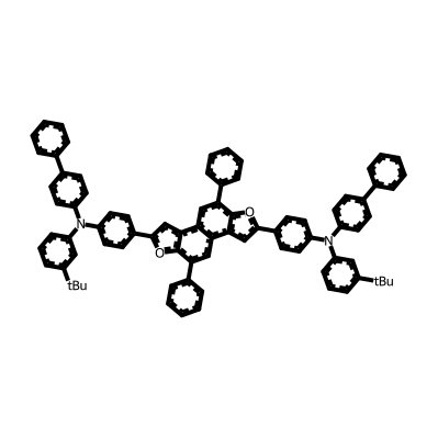 CC(C)(C)c1cccc(N(c2ccc(-c3ccccc3)cc2)c2ccc(-c3cc4c(o3)c(-c3ccccc3)cc3c5cc(-c6ccc(N(c7ccc(-c8ccccc8)cc7)c7cccc(C(C)(C)C)c7)cc6)oc5c(-c5ccccc5)cc43)cc2)c1